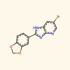 Brc1cnc2nc(-c3ccc4c(c3)OCO4)[nH]c2c1